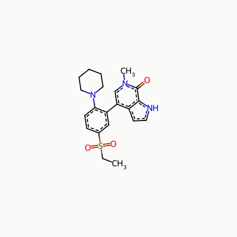 CCS(=O)(=O)c1ccc(N2CCCCC2)c(-c2cn(C)c(=O)c3[nH]ccc23)c1